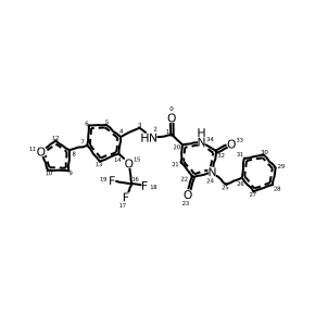 O=C(NCc1ccc(-c2ccoc2)cc1OC(F)(F)F)c1cc(=O)n(Cc2ccccc2)c(=O)[nH]1